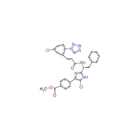 COC(=O)c1ccc(-c2nc([C@H](Cc3ccccc3)NC(=O)/C=C/c3cc(Cl)ccc3-n3cnnn3)[nH]c2Cl)cc1